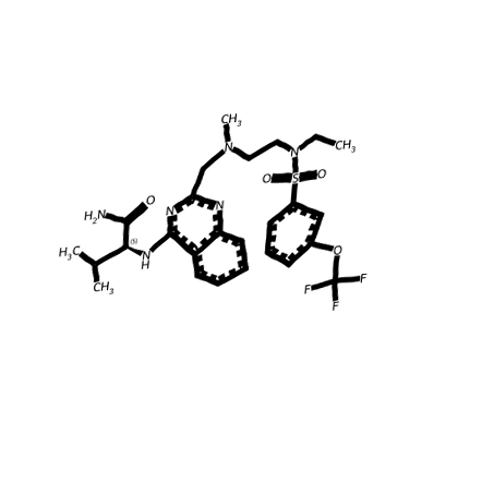 CCN(CCN(C)Cc1nc(N[C@H](C(N)=O)C(C)C)c2ccccc2n1)S(=O)(=O)c1cccc(OC(F)(F)F)c1